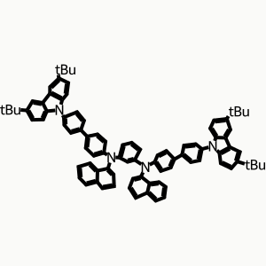 CC(C)(C)c1ccc2c(c1)c1cc(C(C)(C)C)ccc1n2-c1ccc(-c2ccc(N(c3cccc(N(c4ccc(-c5ccc(-n6c7ccc(C(C)(C)C)cc7c7cc(C(C)(C)C)ccc76)cc5)cc4)c4cccc5ccccc45)c3)c3cccc4ccccc34)cc2)cc1